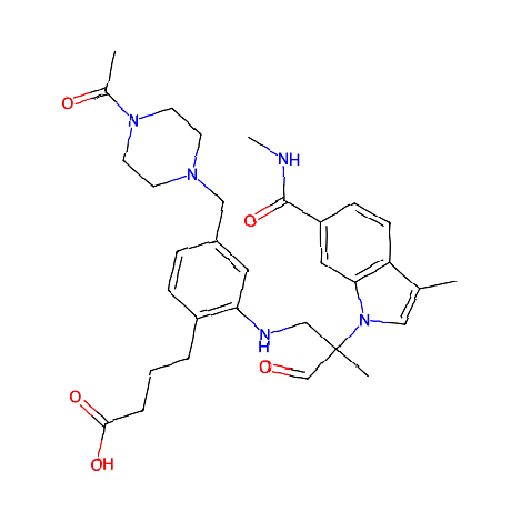 CNC(=O)c1ccc2c(C)cn(C(C)(C=O)CNc3cc(CN4CCN(C(C)=O)CC4)ccc3CCCC(=O)O)c2c1